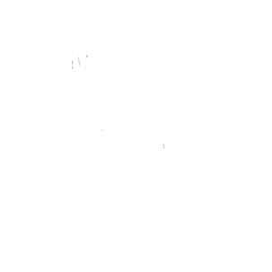 C=COC1=CCCCC1